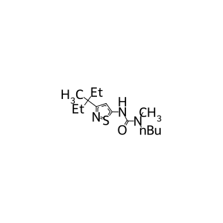 CCCCN(C)C(=O)Nc1cc(C(C)(CC)CC)ns1